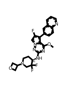 COc1nc(N[C@@H]2CCN(C3COC3)CC2(F)F)nn2cc(F)c(-c3ccc4ncccc4c3)c12